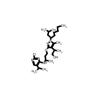 CCCCCC(CC(C)C)n1nc(OCCC(C)Nc2nc(Cl)ncc2C(C)C)c(C(C)CO)c1C